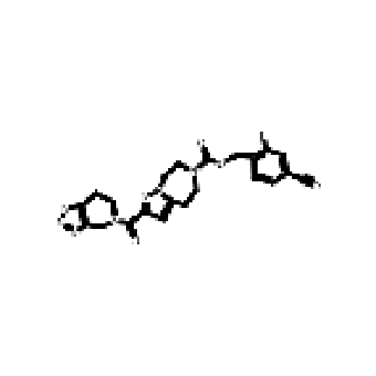 N#Cc1ccc(COC(=O)N2CCc3cc(C(=O)N4CCc5[nH]nnc5C4)nn3CC2)c(F)c1